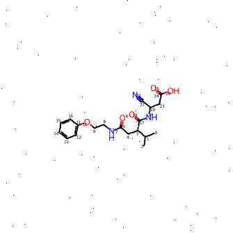 CC(C)C(CC(=O)NCCOc1ccccc1)C(=O)NC(C#N)CC(=O)O